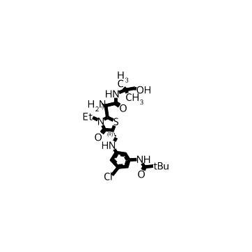 CCN1C(=O)[C@@H](CNc2cc(Cl)cc(NC(=O)C(C)(C)C)c2)SC1[C@H](N)C(=O)NC(C)(C)CO